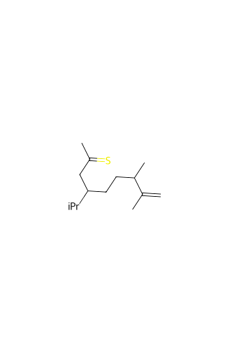 C=C(C)C(C)CCC(CC(C)=S)C(C)C